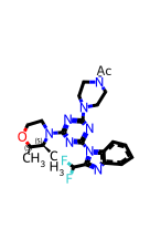 CC(=O)N1CCN(c2nc(N3CCO[C@@H](C)[C@@H]3C)nc(-n3c(C(F)F)nc4ccccc43)n2)CC1